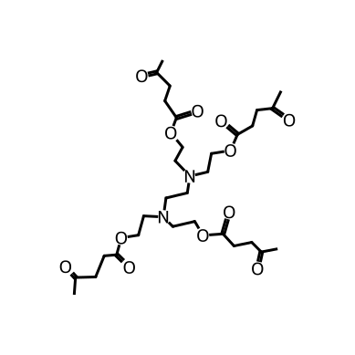 CC(=O)CCC(=O)OCCN(CCOC(=O)CCC(C)=O)CCN(CCOC(=O)CCC(C)=O)CCOC(=O)CCC(C)=O